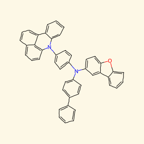 c1ccc(-c2ccc(N(c3ccc(N4c5ccccc5-c5cccc6cccc4c56)cc3)c3ccc4oc5ccccc5c4c3)cc2)cc1